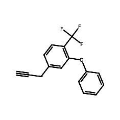 C#C[CH]c1ccc(C(F)(F)F)c(Oc2ccccc2)c1